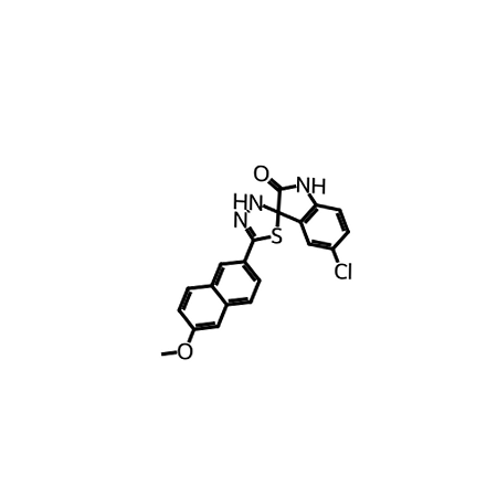 COc1ccc2cc(C3=NNC4(S3)C(=O)Nc3ccc(Cl)cc34)ccc2c1